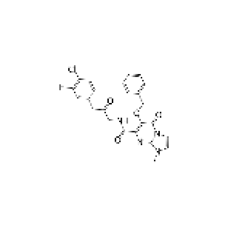 Cn1ccn2c(=O)c(OCc3ccccc3)c(C(=O)NCC(=O)Cc3ccc(Cl)c(F)c3)nc12